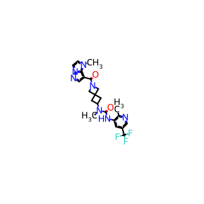 Cc1ncc(C(F)(F)F)cc1NC(=O)N(C)C1CC2(C1)CN(C(=O)c1cnn3ccn(C)c13)C2